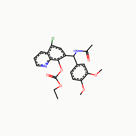 CCOC(=O)Oc1c(C(NC(C)=O)c2ccc(OC)c(OC)c2)cc(Cl)c2cccnc12